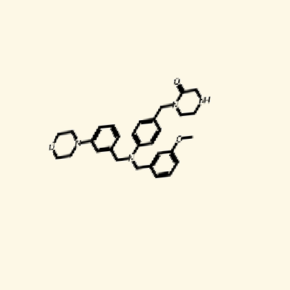 COc1cccc(CN(Cc2cccc(N3CCOCC3)c2)c2ccc(CN3CCNCC3=O)cc2)c1